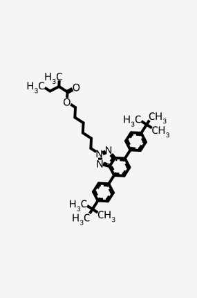 CCC(C)C(=O)OCCCCCCn1nc2c(-c3ccc(C(C)(C)C)cc3)ccc(-c3ccc(C(C)(C)C)cc3)c2n1